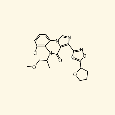 COCC(C)n1c(=O)c2c(-c3noc(C4CCCO4)n3)ncn2c2cccc(Cl)c21